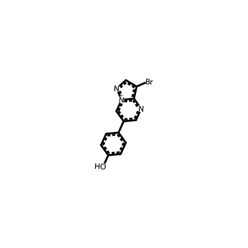 Oc1ccc(-c2cnc3c(Br)cnn3c2)cc1